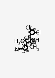 Cc1n[nH]c(Sc2cc(Cl)cc(Cl)c2)c1C(c1cccc(C#N)n1)C(C)C